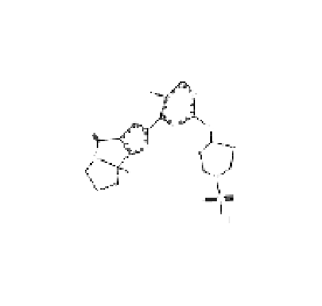 CCC12CCCN1C(=O)c1cc(-c3nc(NC4CCN(S(C)(=O)=O)CC4)ncc3F)sc12